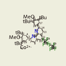 COc1c(C(C)(C)C)cc(-c2ccc3ccc4ccc(-c5cc(C(C)(C)C)c(OC)c(C(C)(C)C)c5)nc4c3n2)cc1C(C)(C)C.F[B-](F)(F)F.F[B-](F)(F)F.[Co+2]